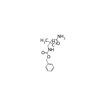 CC(C)(CNC(=O)OCc1ccccc1)CC(N)=O